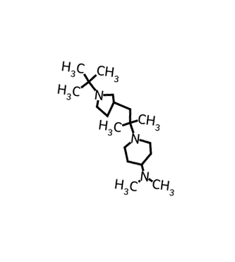 CN(C)C1CCN(C(C)(C)CC2CCN(C(C)(C)C)C2)CC1